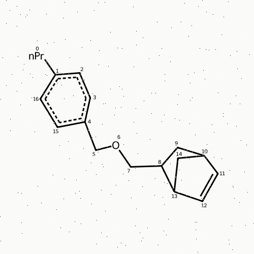 CCCc1ccc(COCC2CC3C=CC2C3)cc1